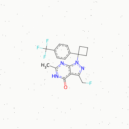 Cc1nc2c(c(CF)nn2C2(c3ccc(C(F)(F)F)cc3)CCC2)c(=O)[nH]1